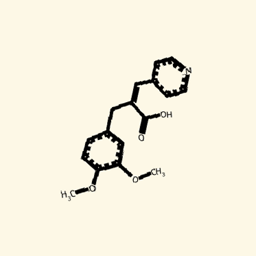 COc1ccc(CC(=Cc2ccncc2)C(=O)O)cc1OC